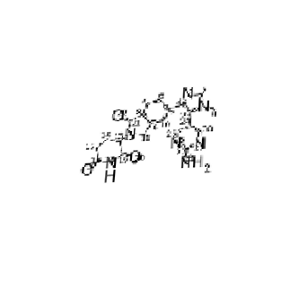 Cn1cnc(-c2ccc3c(c2)CN(C2CCC(=O)NC2=O)C3=O)c1-c1cnc(N)nc1